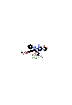 COCCCCc1c(C(=O)N(CC(C)C)[C@@H]2CNC[C@H](N3CCCC3=O)C2)nnn1-c1ccccc1.Cl